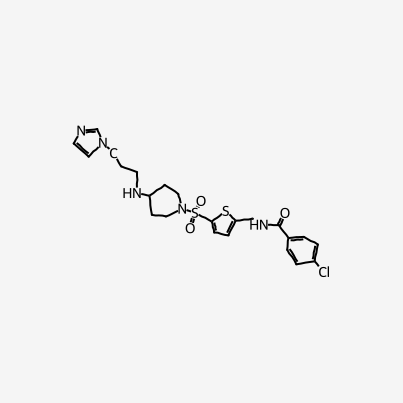 O=C(NCc1ccc(S(=O)(=O)N2CCC(NCCCn3ccnc3)CC2)s1)c1ccc(Cl)cc1